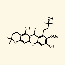 COc1c(O)cc2oc3cc4c(c(O)c3c(=O)c2c1CCC(C)(C)O)CCC(C)(C)O4